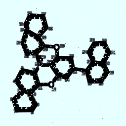 S=P12c3ccc4ccccc4c3Oc3cc(-c4cccc5ccccc45)cc(c31)Oc1c2ccc2ccccc12